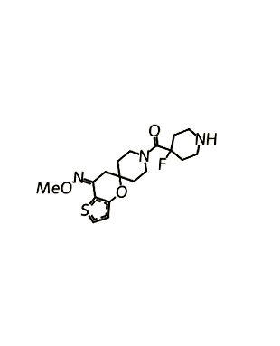 CO/N=C1/CC2(CCN(C(=O)C3(F)CCNCC3)CC2)Oc2ccsc21